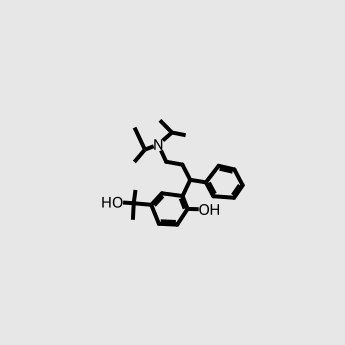 CC(C)N(CCC(c1ccccc1)c1cc(C(C)(C)O)ccc1O)C(C)C